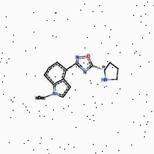 CCCCCCCCCCn1ccc2c(-c3noc([C@@H]4CCCN4)n3)cccc21